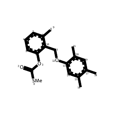 CSC(=O)Oc1cccc(I)c1COc1cc(C)c(C)cc1C